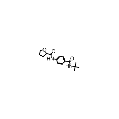 CC(C)(C)NC(=O)c1ccc(NC(=O)C2CCCO2)cc1